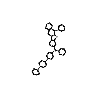 c1ccc(-c2ccc(-c3ccc(N(c4ccccc4)c4ccc5c(c4)oc4c(-c6ccccc6)c6ccccc6cc45)cc3)cc2)cc1